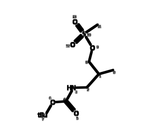 CC(CNC(=O)OC(C)(C)C)COS(C)(=O)=O